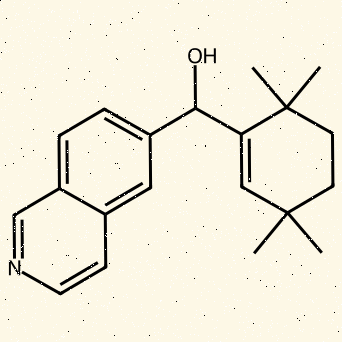 CC1(C)C=C(C(O)c2ccc3cnccc3c2)C(C)(C)CC1